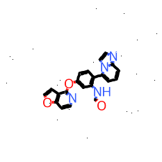 O=CNc1cc(Oc2nccc3occc23)ccc1-c1cccc2nccn12